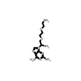 NCCOCCOCC(N)n1cnc2c(N)nc(N)nc21